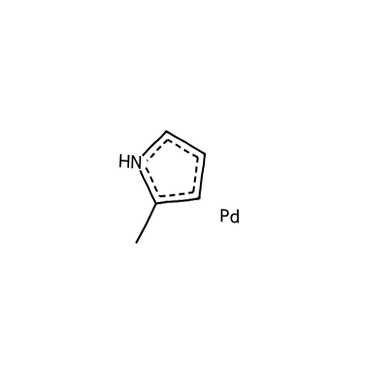 Cc1ccc[nH]1.[Pd]